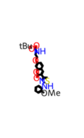 COc1ccccc1Nc1nc(-c2cc3ccc(OCCNC(=O)OC(C)(C)C)cc3oc2=O)cs1